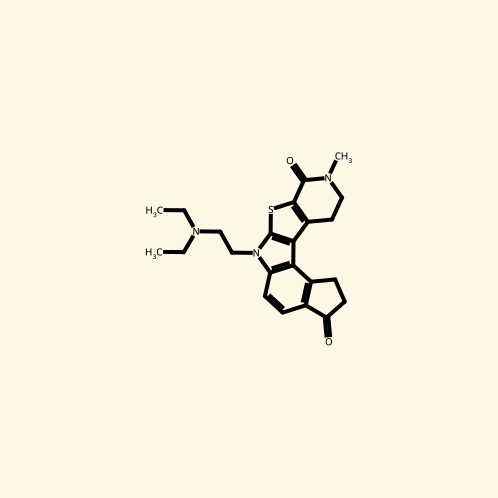 CCN(CC)CCn1c2ccc3c(c2c2c4c(sc21)C(=O)N(C)CC4)CCC3=O